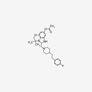 CC(=O)Oc1cc2c3c(c1)OCC(C)(C)N3C(CN1CCC(CCc3ccc(F)cc3)CC1)N2